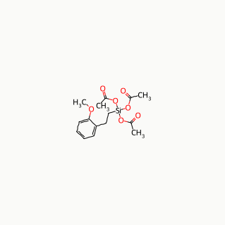 COc1ccccc1CC[Si](OC(C)=O)(OC(C)=O)OC(C)=O